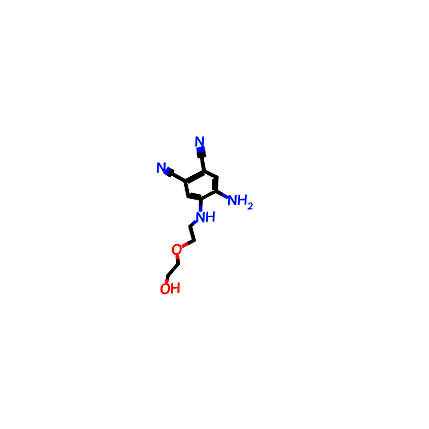 N#Cc1cc(N)c(NCCOCCO)cc1C#N